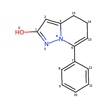 Oc1cc2n(n1)C(c1ccccc1)=CCC2